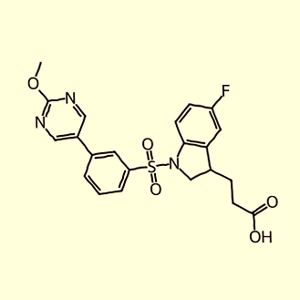 COc1ncc(-c2cccc(S(=O)(=O)N3CC(CCC(=O)O)c4cc(F)ccc43)c2)cn1